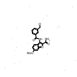 COc1ccc2c(NC(=O)c3cccc(CCl)c3)c(C(N)=O)oc2c1